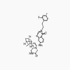 Cc1ccc(CCn2cnc3cc(NC(=N[C@H]4C[C@@H]5C[C@H]([C@@H]4C)C5(C)C)N4CCNC(=O)C4)ccc3c2=O)c(F)c1